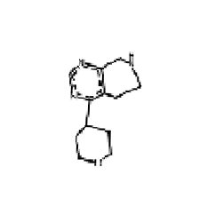 c1nc2c(c(C3CCOCC3)n1)CCNC2